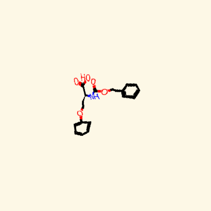 O=C(N[C@@H](CCOc1ccccc1)C(=O)O)OCc1ccccc1